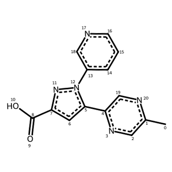 Cc1cnc(-c2cc(C(=O)O)nn2-c2cccnc2)cn1